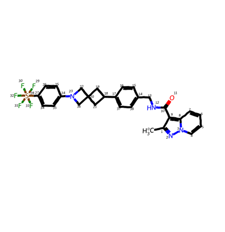 Cc1nn2ccccc2c1C(=O)NCc1ccc(C2CC3(C2)CN(c2ccc(S(F)(F)(F)(F)F)cc2)C3)cc1